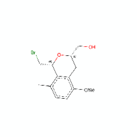 COc1ccc(C)c2c1C[C@@H](CO)O[C@H]2CBr